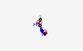 O=S(=O)(NC1CCC(CCN2CCN(c3nccc4c3OCC4)CC2)CC1)c1ccc(F)cc1